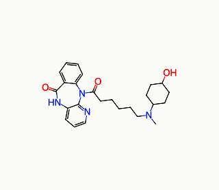 CN(CCCCCC(=O)N1c2ccccc2C(=O)Nc2cccnc21)C1CCC(O)CC1